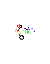 Cl.NCCOc1ccoc1C(=O)SCc1ccccc1